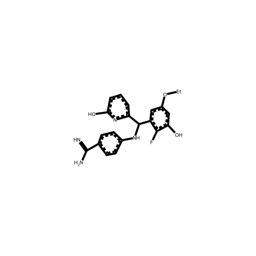 CCOc1cc(O)c(F)c(C(Nc2ccc(C(=N)N)cc2)c2cccc(O)n2)c1